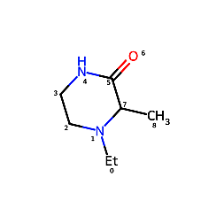 CCN1CCNC(=O)C1C